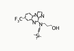 C[Si](C)(C)C#CN(CCCO)c1nc2cc(C(F)(F)F)ccc2n2ccnc12